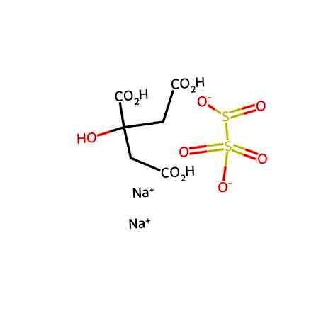 O=C(O)CC(O)(CC(=O)O)C(=O)O.O=S([O-])S(=O)(=O)[O-].[Na+].[Na+]